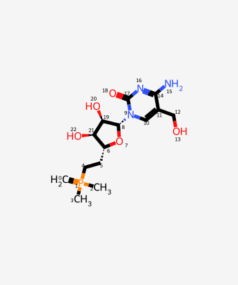 C=P(C)(C)CC[C@H]1O[C@@H](n2cc(CO)c(N)nc2=O)[C@H](O)[C@@H]1O